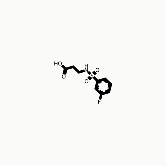 O=C(O)CCNS(=O)(=O)c1cccc(F)c1